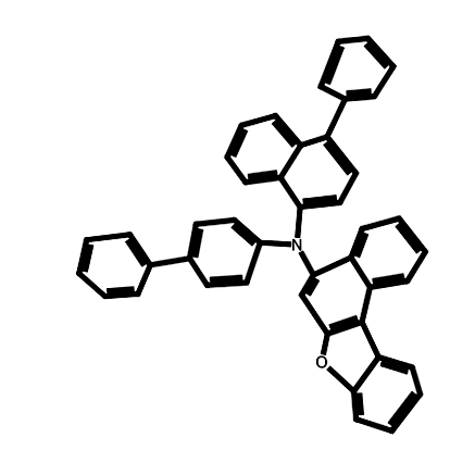 c1ccc(-c2ccc(N(c3ccc(-c4ccccc4)c4ccccc34)c3cc4oc5ccccc5c4c4ccccc34)cc2)cc1